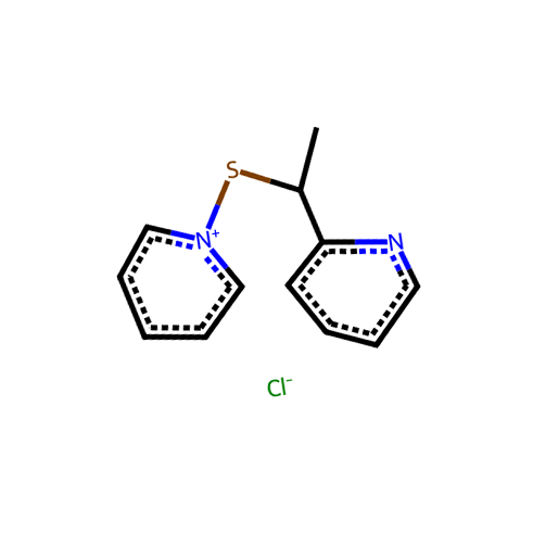 CC(S[n+]1ccccc1)c1ccccn1.[Cl-]